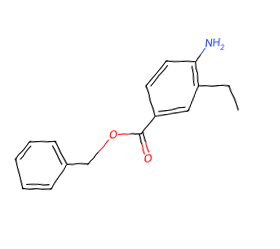 CCc1cc(C(=O)OCc2ccccc2)ccc1N